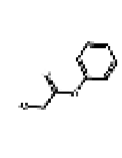 [O]CC(=O)Oc1ccccc1